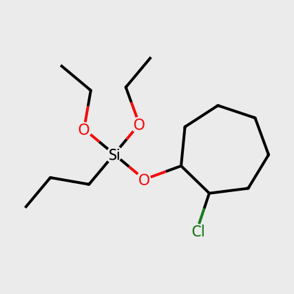 CCC[Si](OCC)(OCC)OC1CCCCCC1Cl